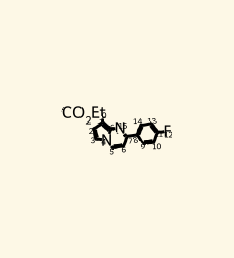 CCOC(=O)c1ccn2ccc(-c3ccc(F)cc3)nc12